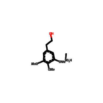 COc1cc(CCO)cc(OC)c1OC.CS(=O)(=O)O